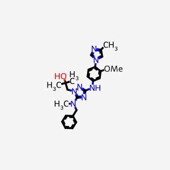 COc1cc(Nc2nc(N(C)Cc3ccccc3)n(CC(C)(C)O)n2)ccc1-n1cnc(C)c1